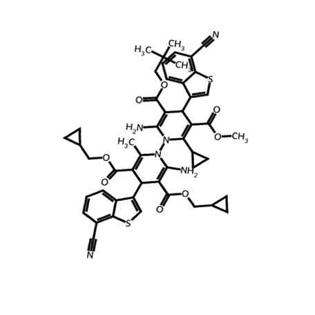 COC(=O)C1=C(C2CC2)N(N2C(C)=C(C(=O)OCC3CC3)C(c3csc4c(C#N)cccc34)C(C(=O)OCC3CC3)=C2N)C(N)=C(C(=O)OCC(C)(C)C)C1c1csc2c(C#N)cccc12